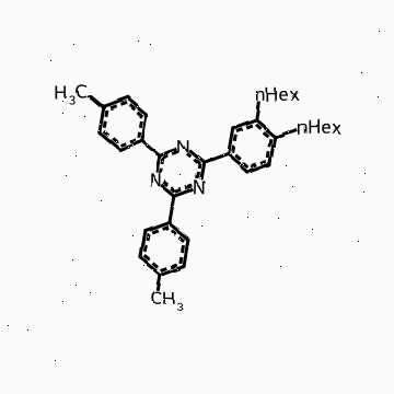 CCCCCCc1ccc(-c2nc(-c3ccc(C)cc3)nc(-c3ccc(C)cc3)n2)cc1CCCCCC